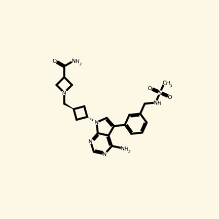 CS(=O)(=O)NCc1cccc(-c2cn([C@H]3C[C@H](CN4CC(C(N)=O)C4)C3)c3ncnc(N)c23)c1